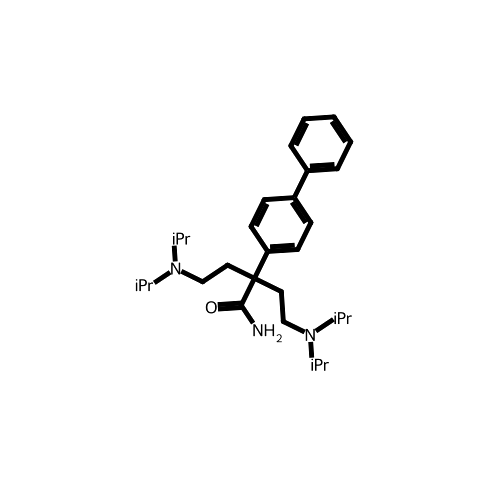 CC(C)N(CCC(CCN(C(C)C)C(C)C)(C(N)=O)c1ccc(-c2ccccc2)cc1)C(C)C